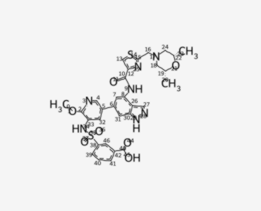 COc1ncc(-c2cc(NC(=O)c3csc(CN4C[C@@H](C)O[C@@H](C)C4)n3)c3cn[nH]c3c2)cc1NS(=O)(=O)c1cccc(C(=O)O)c1